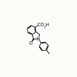 Cc1ccc(N2Cc3c(C(=O)O)cccc3C2=O)cc1